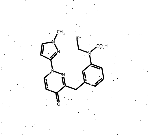 CC(C)CN(C(=O)O)c1cccc(Cc2nn(-c3ccn(C)n3)ccc2=O)c1